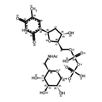 CC(=O)NC[C@H]1O[C@H](OP(=O)(O)OP(=O)(O)OC[C@H]2O[C@@H](n3cc(C)c(=O)[nH]c3=O)C[C@@H]2O)[C@H](O)[C@@H](O)[C@@H]1O